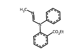 CCOC(=O)c1ccccc1N(C=NC)c1ccccc1